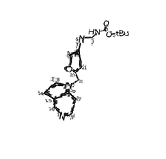 CC(C)(C)OC(=O)NC=Nc1coc(Cn2ccc3cnccc32)c1